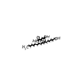 CCCCCCCCCCCCCCCCCCO.O=C(O)CC(O)C(=O)O